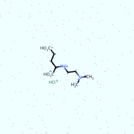 CN(C)CCNC(CCC(=O)O)C(=O)O.Cl